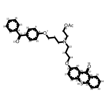 CC(=O)OCCN(CCCOc1ccc(C(=O)c2ccccc2)cc1)CCCOc1ccc2sc3ccccc3c(=O)c2c1